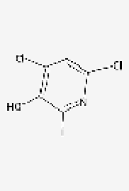 Oc1c(Cl)cc(Cl)nc1I